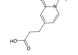 Cn1ccc(CCC(=O)O)cc1=O